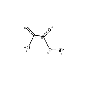 C=C(O)C(=O)OC(C)C